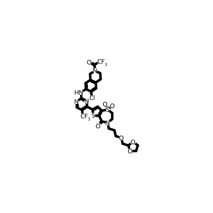 O=C1c2sc(-c3nc(Nc4cc5c(cc4Cl)CCN(C(=O)C(F)(F)F)C5)ncc3C(F)(F)F)cc2S(=O)(=O)CCN1CCCOCC1OCCO1